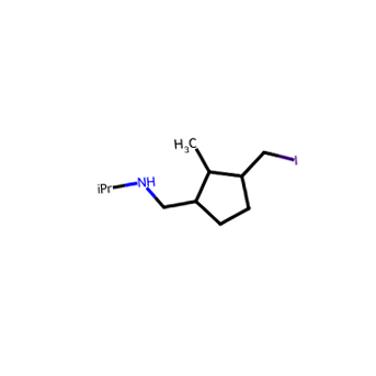 CC(C)NCC1CCC(CI)C1C